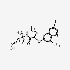 CSC(Oc1cc(C)c2ncc(I)cc2c1)C(=O)NC(C)(C)C/C=N/O